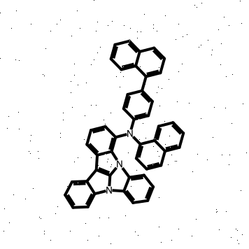 c1ccc2c(-c3ccc(N(c4cccc5ccccc45)c4cccc5c6c7ccccc7n7c8ccccc8n(c45)c67)cc3)cccc2c1